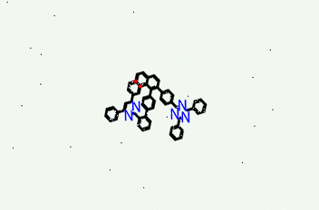 c1ccc(-c2cc(-c3ccccc3)nc(-c3ccccc3-c3ccc(-c4c(-c5ccc(-c6nc(-c7ccccc7)nc(-c7ccccc7)n6)cc5)ccc5ccccc45)cc3)n2)cc1